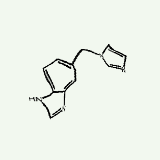 [c]1nc2cc(Cn3ccnc3)ccc2[nH]1